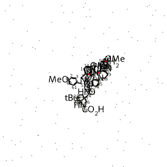 COc1ccc(CN(Cc2ccc(OC)cc2)S(=O)(=O)c2c(S(=O)(=O)NCC(CNC(=O)O)O[Si](C)(C)C(C)(C)C)ccc(N3CCc4nc(N)[nH]c4C3)c2-c2nnnn2Cc2ccc(OC)cc2)cc1